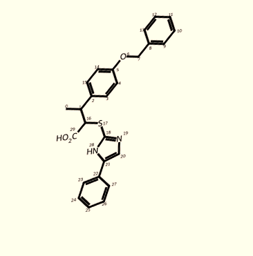 CC(c1ccc(OCc2ccccc2)cc1)C(Sc1ncc(-c2ccccc2)[nH]1)C(=O)O